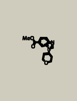 COC(=O)c1ccc2ncn(C3=CCOCC3)c2c1